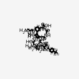 C[C@@H]1NC(=O)[C@@H](N(C)C(=O)[C@H](CNS(N)(=O)=O)NC(=O)c2c(N)nc(-c3ccc(C(C)(C)C)cc3)nc2Cl)c2cc(OC[C@H](O)CN)c(O)c(c2)-c2cc(ccc2OC[C@H](O)CN)C[C@@H](C(=O)O)NC1=O